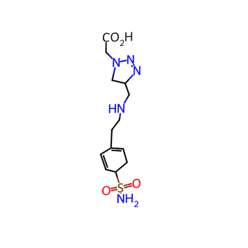 NS(=O)(=O)C1C=CC(CCNCC2CN(CC(=O)O)N=N2)=CC1